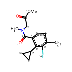 COC(=O)CN(C)C(=O)c1ccc(C(F)(F)F)c(F)c1C1CC1